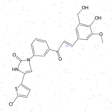 COc1cc(/C=C/C(=O)c2cccc(-n3cc(-c4ccc(Cl)s4)[nH]c3=O)c2)cc(CO)c1O